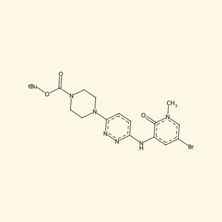 Cn1cc(Br)cc(Nc2ccc(N3CCN(C(=O)OC(C)(C)C)CC3)nn2)c1=O